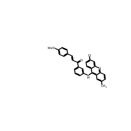 COc1ccc(/C=C/C(=O)c2cccc(Nc3c4ccc(Cl)cc4nc4ccc(C)cc34)c2)cc1